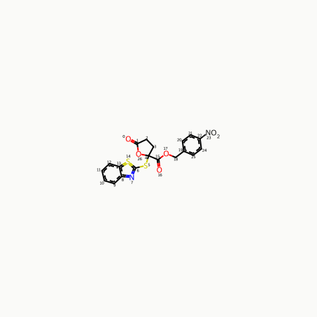 O=C1CCC(Sc2nc3ccccc3s2)(C(=O)OCc2ccc([N+](=O)[O-])cc2)O1